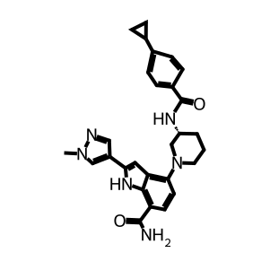 Cn1cc(-c2cc3c(N4CCC[C@@H](NC(=O)c5ccc(C6CC6)cc5)C4)ccc(C(N)=O)c3[nH]2)cn1